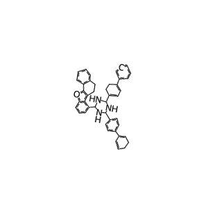 C1=CC(c2ccc(C3NC(C4=CC=C(c5ccccc5)CC4)NC(c4cccc5oc6c(c45)CCc4ccccc4-6)N3)cc2)=CCC1